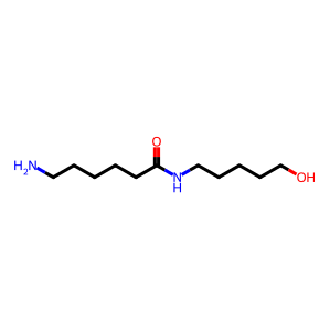 NCCCCCC(=O)NCCCCCO